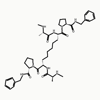 CN[C@@H](C)C(=O)N[C@@H](CCCCCC[C@H](NC(=O)[C@H](C)NC)C(=O)N1CCC[C@H]1C(=O)NCc1ccccc1)C(=O)N1CCC[C@H]1C(=O)NCc1ccccc1